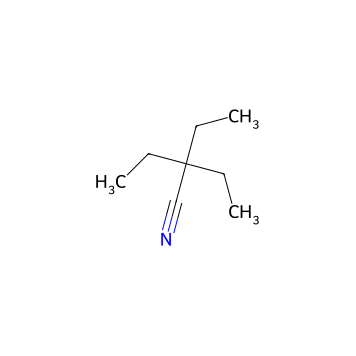 CCC(C#N)(CC)CC